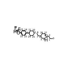 CCC[SiH]1CCC(CC[C@H]2CC[C@H](c3ccc(OC(F)(F)F)cc3)CC2)CC1